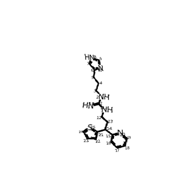 N=C(NCCCc1c[nH]cn1)NCCC(c1ccccn1)c1cccs1